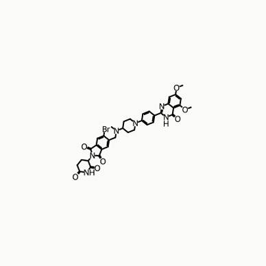 COc1cc(OC)c2c(=O)[nH]c(-c3ccc(N4CCC(N(C)Cc5cc6c(cc5Br)C(=O)N(C5CCC(=O)NC5=O)C6=O)CC4)cc3)nc2c1